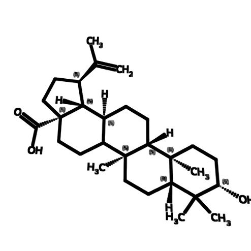 C=C(C)[C@@H]1CC[C@]2(C(=O)O)CCC3[C@H](CC[C@@H]4[C@@]5(C)CC[C@H](O)C(C)(C)[C@@H]5CC[C@@]34C)[C@@H]12